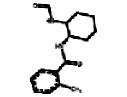 Cc1ccccc1C(=O)N[C@@H]1CCCC[C@@H]1NC=O